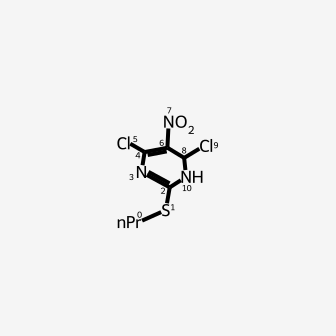 CCCSC1=NC(Cl)=C([N+](=O)[O-])C(Cl)N1